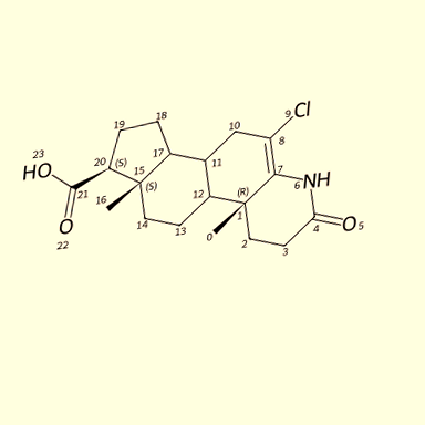 C[C@]12CCC(=O)NC1=C(Cl)CC1C2CC[C@@]2(C)C1CC[C@@H]2C(=O)O